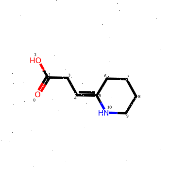 O=C(O)CC=C1CCCCN1